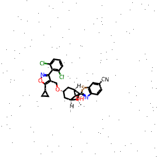 C[C@H]1C[C@@H]2C[C@@H](OCc3c(-c4c(Cl)cccc4Cl)noc3C3CC3)C[C@H]1[C@]2(O)c1nc2ccc(C#N)cc2s1